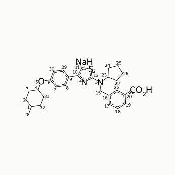 CC1CCC(Oc2ccc(-c3csc(N(Cc4cccc(C(=O)O)c4)C4CCCC4)n3)cc2)CC1.[NaH]